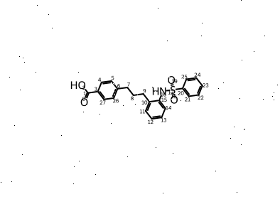 O=C(O)c1ccc(CCCc2ccccc2NS(=O)(=O)c2ccccc2)cc1